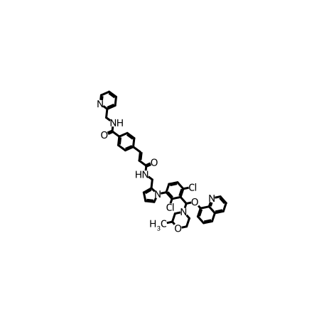 CC1CN(C(Oc2cccc3cccnc23)c2c(Cl)ccc(-n3cccc3CNC(=O)C=Cc3ccc(C(=O)NCc4ccccn4)cc3)c2Cl)CCO1